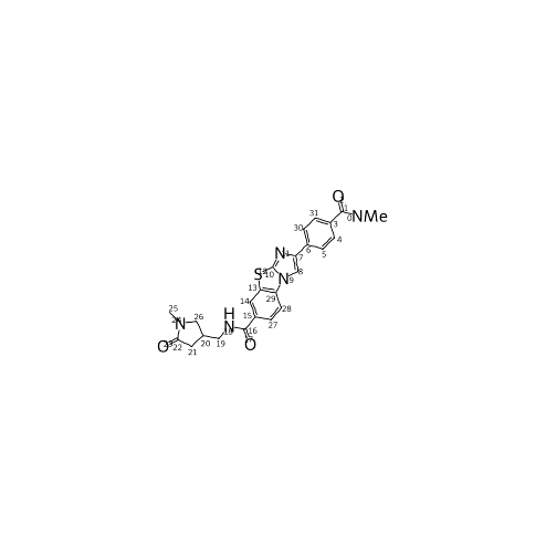 CNC(=O)c1ccc(-c2cn3c(n2)sc2cc(C(=O)NCC4CC(=O)N(C)C4)ccc23)cc1